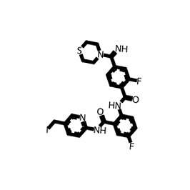 N=C(c1ccc(C(=O)Nc2ccc(F)cc2C(=O)Nc2ccc(CI)cn2)c(F)c1)N1CCSCC1